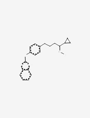 CCCNC(CCCc1ccc(Oc2nc3ccccc3o2)cc1)C1CC1